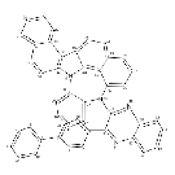 c1ccc(-c2ccc(-c3nc4ccccc4nc3-n3c4cccc5ccc6c7c8ccccc8ccc7n(c7ccccc73)c6c54)cc2)cc1